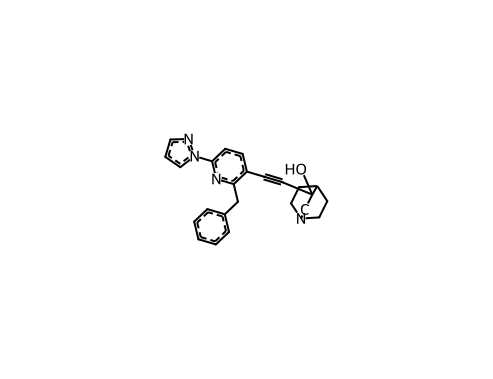 OC1(C#Cc2ccc(-n3cccn3)nc2Cc2ccccc2)CN2CCC1CC2